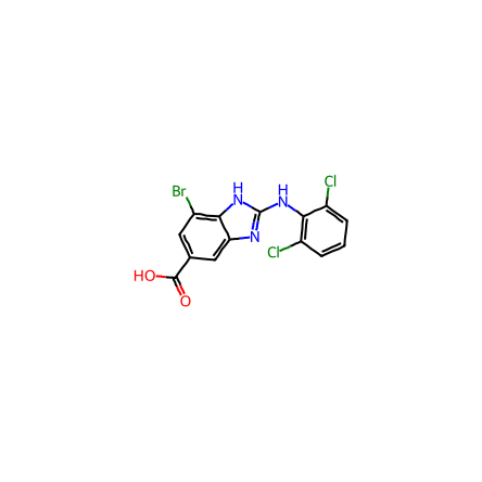 O=C(O)c1cc(Br)c2[nH]c(Nc3c(Cl)cccc3Cl)nc2c1